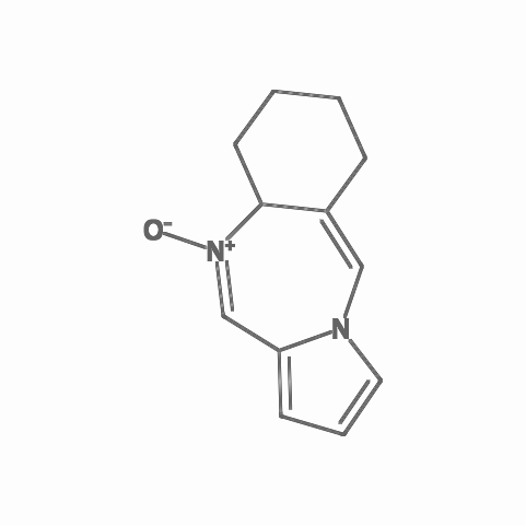 [O-][N+]1=Cc2cccn2C=C2CCCCC21